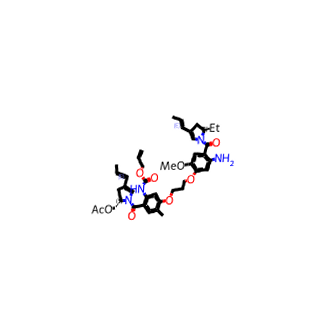 C=CCOC(=O)Nc1cc(OCCCOc2cc(N)c(C(=O)N3C=C(/C=C/C)C[C@H]3CC)cc2OC)c(C)cc1C(=O)N1C=C(/C=C/C)C[C@H]1COC(C)=O